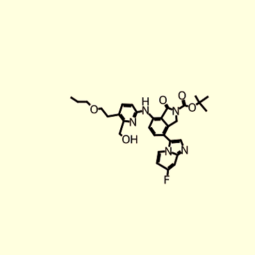 CCCOCCc1ccc(Nc2ccc(-c3cnc4cc(F)ccn34)c3c2C(=O)N(C(=O)OC(C)(C)C)C3)nc1CO